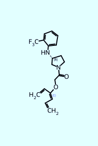 C=C/C=C(\C=C)OCC(=O)N1CC[C@@H](Nc2ccccc2C(F)(F)F)C1